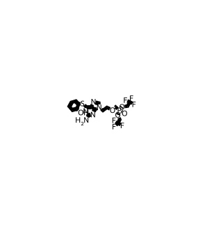 Nc1nc(Sc2ccccc2O)c2ncn(CCOCP(=O)(OCC(F)(F)F)OCC(F)(F)F)c2n1